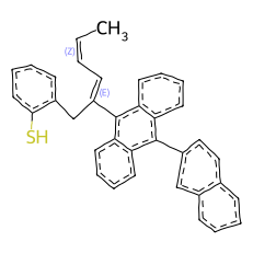 C/C=C\C=C(/Cc1ccccc1S)c1c2ccccc2c(-c2ccc3ccccc3c2)c2ccccc12